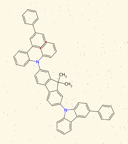 CC1(C)c2cc(N(c3ccccc3)c3ccccc3-c3cccc(-c4ccccc4)c3)ccc2-c2ccc(-n3c4ccccc4c4cc(-c5ccccc5)ccc43)cc21